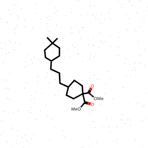 COC(=O)C1(C(=O)OC)CCC(CCCC2CCC(C)(C)CC2)CC1